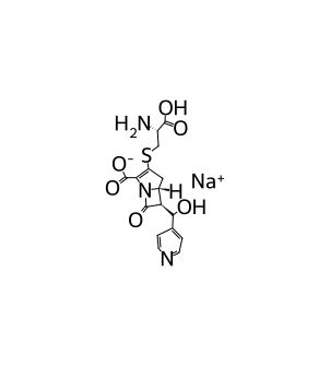 N[C@@H](CSC1=C(C(=O)[O-])N2C(=O)[C@H](C(O)c3ccncc3)[C@H]2C1)C(=O)O.[Na+]